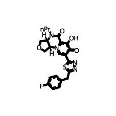 CCCN1C(=O)c2c(O)c(=O)c(-c3nnc(Cc4ccc(F)cc4)s3)cn2[C@@H]2COC[C@@H]21